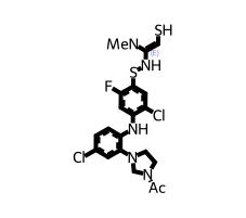 CN/C(=C\S)NSc1cc(Cl)c(Nc2ccc(Cl)cc2N2CCN(C(C)=O)C2)cc1F